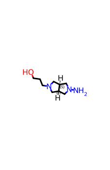 NN1C[C@@H]2CN(CCCO)C[C@@H]2C1